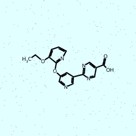 CCOc1cccnc1Oc1cncc(-c2ncc(C(=O)O)cn2)c1